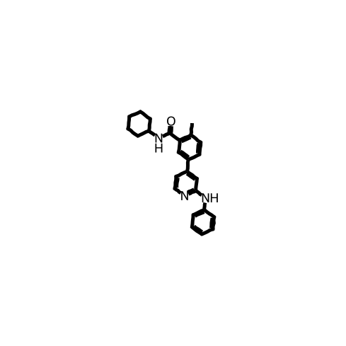 Cc1ccc(-c2ccnc(Nc3ccccc3)c2)cc1C(=O)NC1CCCCC1